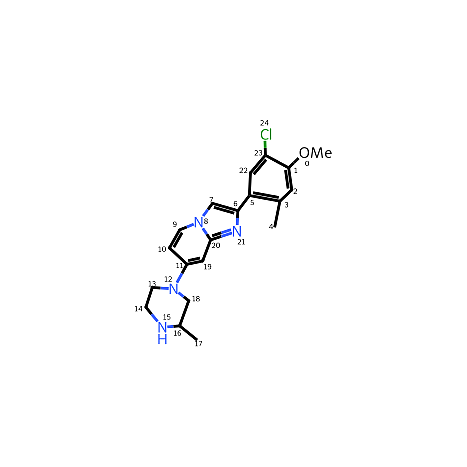 COc1cc(C)c(-c2cn3ccc(N4CCNC(C)C4)cc3n2)cc1Cl